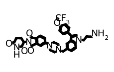 NCCCn1cc(-c2ccc(OC(F)(F)F)cc2)c2cc(CN3CCN(c4ccc5c(c4)C(=O)N(C4CCC(=O)NC4=O)C5=O)CC3)ccc21